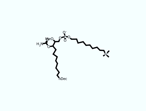 CCCCCCCCCCCCCCCCCCC(OC(N)=O)C(COP(=O)([O-])OCCCCCCCCCC[N+](C)(C)C)OC